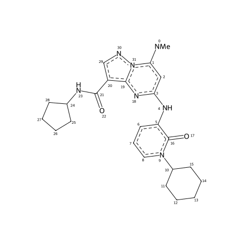 CNc1cc(Nc2cccn(C3CCCCC3)c2=O)nc2c(C(=O)NC3CCCC3)cnn12